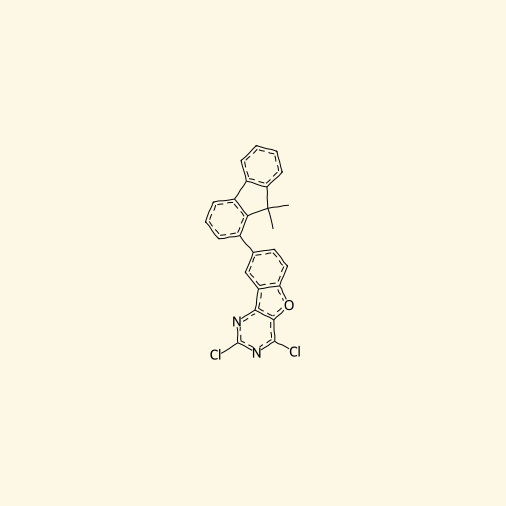 CC1(C)c2ccccc2-c2cccc(-c3ccc4oc5c(Cl)nc(Cl)nc5c4c3)c21